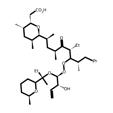 C=C[C@@H](O)[C@H](OOC([C@@H](C)CC(C)C)[C@@H](CC)C(=O)[C@@H](C)C[C@H](C)[C@@H]1O[C@@H](CC(=O)O)[C@@H](C)C[C@@H]1C)O[C@@](C)(CC)C1CCC[C@H](C)O1